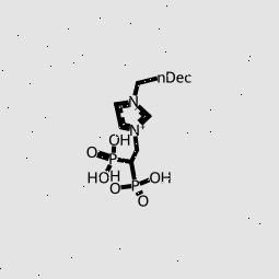 CCCCCCCCCCCn1cc[n+](CC(P(=O)(O)O)P(=O)(O)O)c1